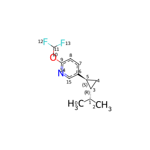 CC(C)[C@H]1C[C@@H]1c1ccc(OC(F)F)nc1